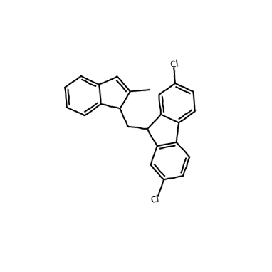 CC1=Cc2ccccc2C1CC1c2cc(Cl)ccc2-c2ccc(Cl)cc21